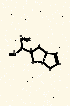 CCCCCCCC(CCCC)N1CC2C=CCC2C1